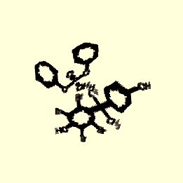 CC(C)(c1ccc(O)cc1)c1c(Br)c(Br)c(O)c(Br)c1Br.O=P(O)(Oc1ccccc1)Oc1ccccc1